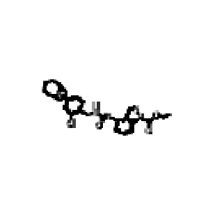 CCOC(=O)n1ncc2c(NC(=O)NCc3ccc(N4C5CCCC4CC5)cc3Cl)cccc21